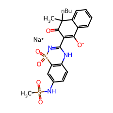 CCCCC1(C)C(=O)C(C2=NS(=O)(=O)c3cc(NS(C)(=O)=O)ccc3N2)=C([O-])c2ccccc21.[Na+]